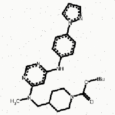 CN(CC1CCN(C(=O)OC(C)(C)C)CC1)c1cc(Nc2ccc(-n3cccn3)cc2)ncn1